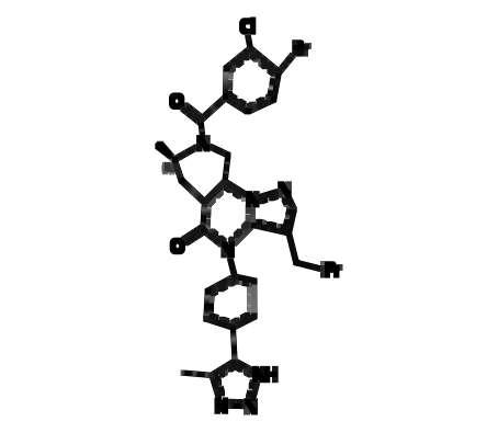 Cc1nn[nH]c1-c1ccc(-n2c(=O)c3c(n4ncc(CC(C)C)c24)CN(C(=O)c2ccc(Br)c(Cl)c2)[C@H](C)C3)cc1